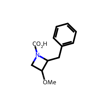 COC1CN(C(=O)O)C1Cc1ccccc1